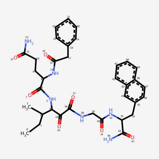 CCC(C)C(NC(=O)C(CCC(N)=O)NC(=O)Cc1ccccc1)C(=O)C(=O)NCC(=O)NC(Cc1ccc2ccccc2c1)C(N)=O